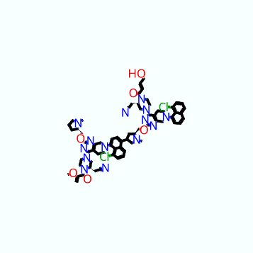 C=C(OC)C(=O)N1CCN(c2nc(OC[C@@H]3CCCN3C)nc3c2CCN(c2ccc(C4C[C@@H](COc5nc6c(c(N7CCN(C(=O)/C=C/CO)[C@@H](CC#N)C7)n5)CCN(c5cccc7cccc(Cl)c57)C6)N(C)C4)c4cccc(Cl)c24)C3)C[C@@H]1CC#N